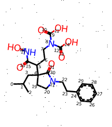 CC(C)CC1(C(CCN(C(=O)O)C(=O)O)C(=O)NO)CCN(CCc2ccccc2)C1=O